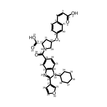 O=C(O)/C=C\c1ccc(O[C@@H]2C[C@@H](C(=O)O)N(C(=O)c3ccc4c(c3)nc(-c3ccoc3)n4C3CCCCC3)C2)cc1